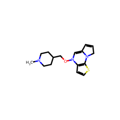 CN1CCC(CON2C=C3C=CCN3c3sccc32)CC1